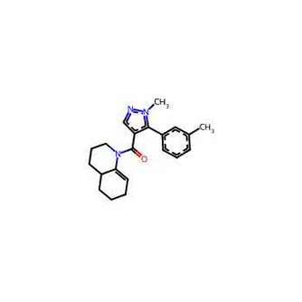 Cc1cccc(-c2c(C(=O)N3CCCC4CCCC=C43)cnn2C)c1